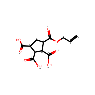 C=CCOC(=O)C1CC(C(=O)O)C(C(=O)O)C1C(=O)O